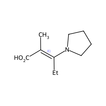 CC/C(=C(/C)C(=O)O)N1CCCC1